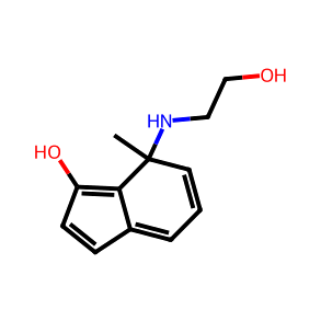 CC1(NCCO)C=CC=C2C=CC(O)=C21